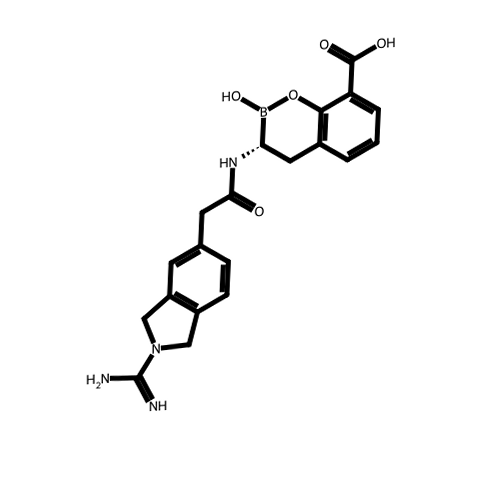 N=C(N)N1Cc2ccc(CC(=O)N[C@H]3Cc4cccc(C(=O)O)c4OB3O)cc2C1